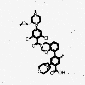 COC[C@@H]1CN(C)CCN1c1cc(Cl)c(C(=O)N2COc3c(cccc3-c3cc(N4C5CCC4COC5)c(C(=O)O)cc3F)C2)c(Cl)c1